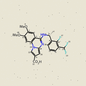 COc1cc2c(N[C@H](C)c3cccc(C(F)F)c3F)nc3cc(C(=O)O)cn3c2cc1OC